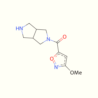 COc1cc(C(=O)N2CC3CNCC3C2)on1